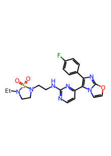 CCN1CCN(CCNc2nccc(-c3c(-c4ccc(F)cc4)nc4occn34)n2)S1(=O)=O